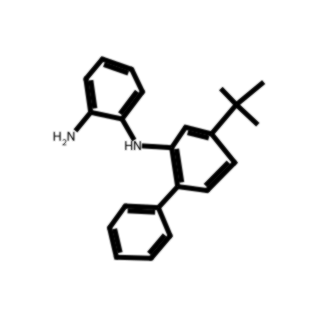 CC(C)(C)c1ccc(-c2ccccc2)c(Nc2ccccc2N)c1